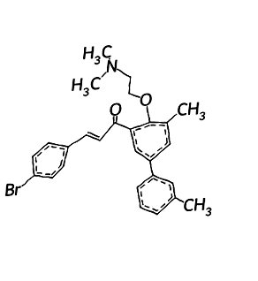 Cc1cccc(-c2cc(C)c(OCCN(C)C)c(C(=O)/C=C/c3ccc(Br)cc3)c2)c1